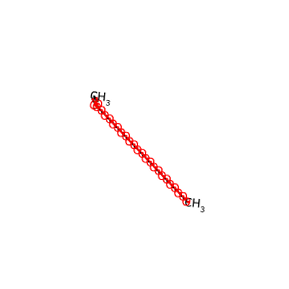 COCCOCCOCCOCCOCCOCCOCCOCCOCCOCCOCCOCCOCCOCCOCCOCCOCCOCCOCCOCCOCCOCCOS(=O)(=O)c1ccc(C)cc1